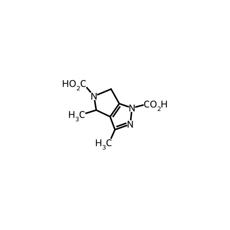 Cc1nn(C(=O)O)c2c1C(C)N(C(=O)O)C2